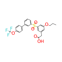 CCCOc1cc(CC(=O)O)cc(S(=O)(=O)c2cccc(-c3ccc(OC(F)(F)F)cc3)c2)c1